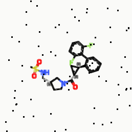 CS(=O)(=O)NC[C@H]1CCN(C(=O)[C@@H]2C[C@H]2c2ccccc2-c2c(F)cccc2F)C1